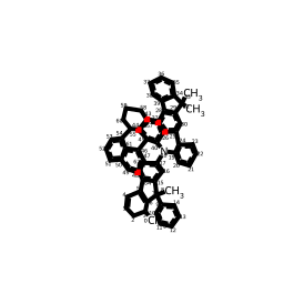 CC1CC=CC2=C1C(C)(c1ccccc1)c1cc(N(c3ccccc3-c3ccc4c(c3)C(C)(C)c3ccccc3-4)c3ccccc3-c3cccc4cccc(C5CCCCC5)c34)ccc12